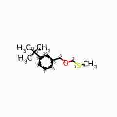 CSCOCc1cccc(C(C)(C)C)c1